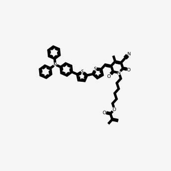 C=C(C)C(=O)OCCCCCCN1C(=O)C(=Cc2ccc(-c3ccc(-c4ccc(N(c5ccccc5)c5ccccc5)cc4)s3)s2)C(C)=C(C#N)C1=O